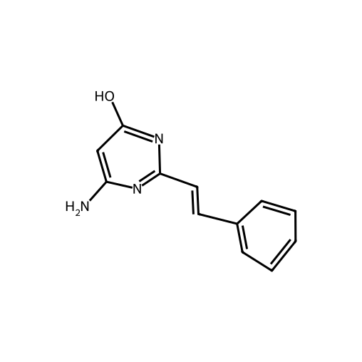 Nc1cc(O)nc(C=Cc2ccccc2)n1